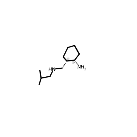 CC(C)CNC[C@@H]1CCCC[C@@H]1N